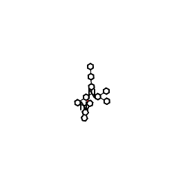 c1ccc(-c2ccc(-c3ccc(N(c4ccc(-c5ccccc5-n5c6ccccc6c6cc7ccccc7cc65)cc4)c4ccc(-c5ccccc5)c(-c5ccccc5)c4)cc3)cc2)cc1